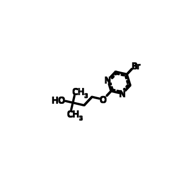 CC(C)(O)CCOc1ncc(Br)cn1